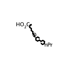 C=C(CCCCCOC[C@H]1CC[C@H]([C@H]2CC[C@H](CCC)CC2)CC1)C(=O)O